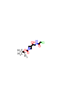 CC(C)(C)OC(=O)N1CC(C(O)CNC(=O)CCl)C1